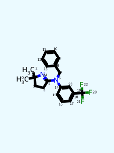 CC1(C)CCC(N(Cc2ccccc2)c2cccc(C(F)(F)F)c2)=N1